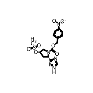 CS(=O)(=O)O[C@@H]1C[C@@H](c2nc[nH]n2)N(C(=O)OCc2ccc([N+](=O)[O-])cc2)C1